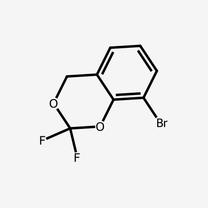 FC1(F)OCc2cccc(Br)c2O1